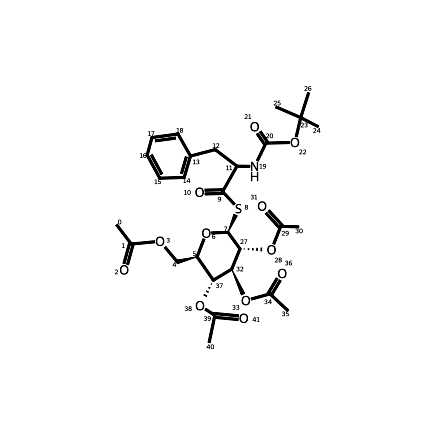 CC(=O)OC[C@H]1O[C@@H](SC(=O)C(Cc2ccccc2)NC(=O)OC(C)(C)C)[C@H](OC(C)=O)[C@@H](OC(C)=O)[C@@H]1OC(C)=O